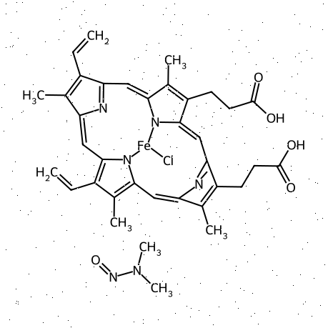 C=CC1=C(C)/C2=C/c3c(C=C)c(C)c4[n]3[Fe]([Cl])[n]3/c(c(C)c(CCC(=O)O)/c3=C/C3=NC(=C\4)/C(C)=C3CCC(=O)O)=C\C1=N2.CN(C)N=O